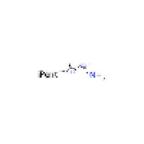 CCCC(C)CC/C(C)=C/C=C(/C)CN